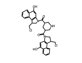 O=C(C1CNCC(C(=O)N2CC(CCl)c3c2cc(O)c2ccccc32)C1)N1CC(CCl)c2c1cc(O)c1ccccc21